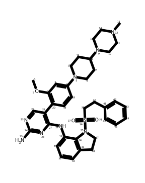 COc1cc(N2CCC(N3CCN(C)CC3)CC2)ccc1-c1cnc(N)nc1Nc1cccc2c1N(S(=O)(=O)CCc1ccccc1)CC2